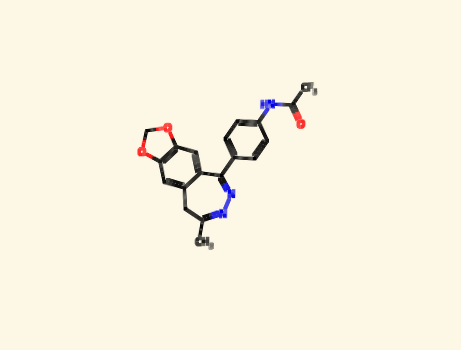 CC1=NN=C(c2ccc(NC(=O)C(F)(F)F)cc2)c2cc3c(cc2C1)OCO3